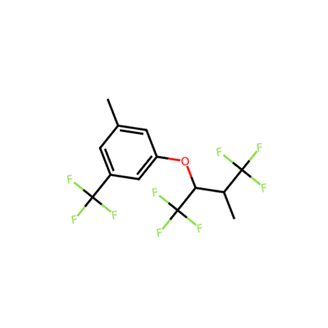 Cc1cc(OC(C(C)C(F)(F)F)C(F)(F)F)cc(C(F)(F)F)c1